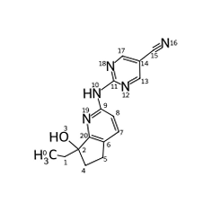 CCC1(O)CCc2ccc(Nc3ncc(C#N)cn3)nc21